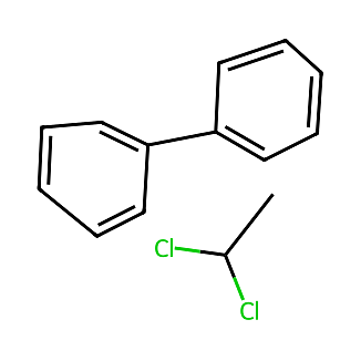 CC(Cl)Cl.c1ccc(-c2ccccc2)cc1